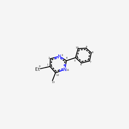 CCc1cnc(-c2ccccc2)nc1C